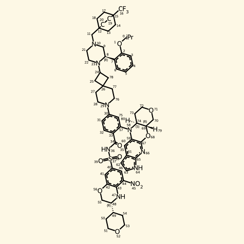 CC(C)Oc1ccccc1[C@@H]1CN(CC23CCC(C(F)(F)F)(CC2)CC3)CCN1C1CC2(CCN(c3ccc(C(=O)NS(=O)(=O)c4cc5c(c([N+](=O)[O-])c4)N[C@H](C4CCOCC4)CO5)c(N4c5cc6cc[nH]c6nc5O[C@H]5COCC[C@@H]54)c3)CC2)C1